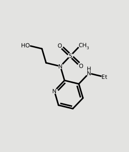 CCNc1cccnc1N(CCO)S(C)(=O)=O